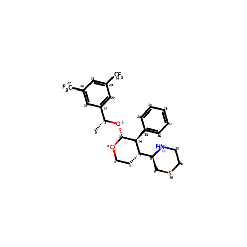 C[C@@H](O[C@H]1OCC[C@@H]([C@@H]2CSCCN2)[C@@H]1c1ccccc1)c1cc(C(F)(F)F)cc(C(F)(F)F)c1